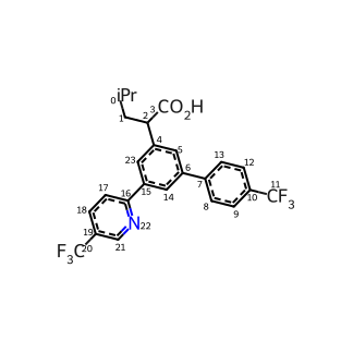 CC(C)CC(C(=O)O)c1cc(-c2ccc(C(F)(F)F)cc2)cc(-c2ccc(C(F)(F)F)cn2)c1